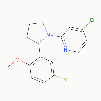 COc1ccc(F)cc1C1CCCN1c1cc(Cl)ccn1